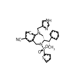 C[C@@H](c1ccccc1)[C@H]1CN(Cc2c[nH]cn2)c2ccc(C#N)cc2CN1S(=O)(=O)c1cccs1